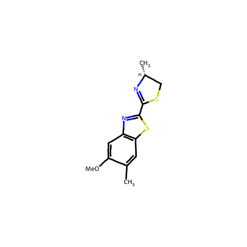 COc1cc2nc(C3=N[C@H](C)CS3)sc2cc1C